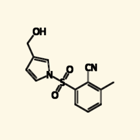 Cc1cccc(S(=O)(=O)n2ccc(CO)c2)c1C#N